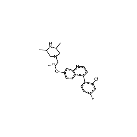 CC1CN(C[C@@H](C)Oc2ccc3c(-c4ccc(F)cc4Cl)ccnc3c2)CC(C)N1